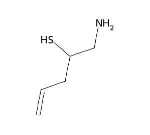 C=CCC(S)CN